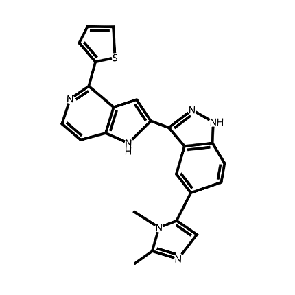 Cc1ncc(-c2ccc3[nH]nc(-c4cc5c(-c6cccs6)nccc5[nH]4)c3c2)n1C